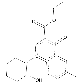 CCOC(=O)c1cn([C@H]2CCCC[C@H]2O)c2ccc(I)cc2c1=O